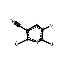 N#Cc1cc(Br)c(Cl)nc1Cl